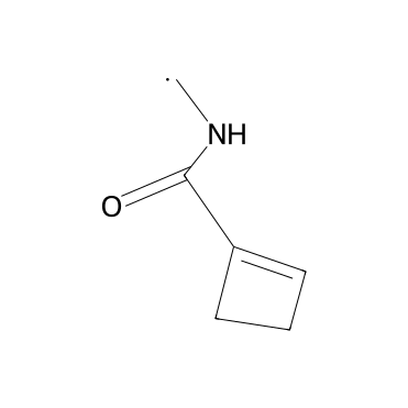 [CH2]NC(=O)C1=CCC1